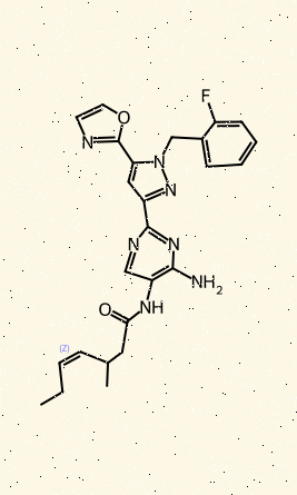 CC/C=C\C(C)CC(=O)Nc1cnc(-c2cc(-c3ncco3)n(Cc3ccccc3F)n2)nc1N